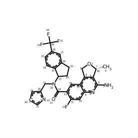 C[C@H]1OCc2c1c(N)nc1cc(F)c(C(=O)N(Cc3cscn3)C3CCc4cc(C(F)(F)F)ccc43)cc21